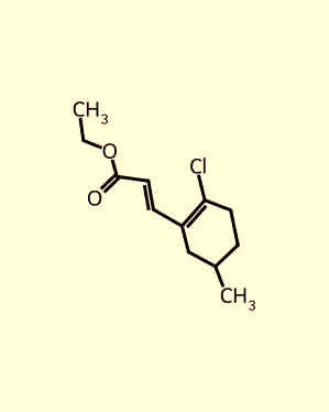 CCOC(=O)/C=C/C1=C(Cl)CCC(C)C1